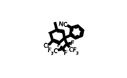 CC1=CC(c2ccccc2C#N)(C(F)(C(F)(F)F)C(F)(F)C(F)(F)F)C=C(Cl)[CH]1